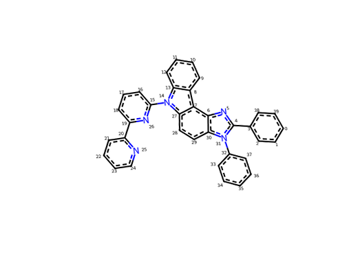 c1ccc(-c2nc3c4c5ccccc5n(-c5cccc(-c6ccccn6)n5)c4ccc3n2-c2ccccc2)cc1